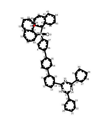 O=P(c1ccc(-c2ccc(-c3cccc(-c4nc(-c5ccccc5)nc(-c5ccccc5)n4)c3)cc2)cc1)(c1cccc2ccccc12)c1cccc2ccccc12